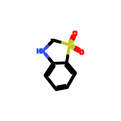 O=S1(=O)[C]Nc2ccccc21